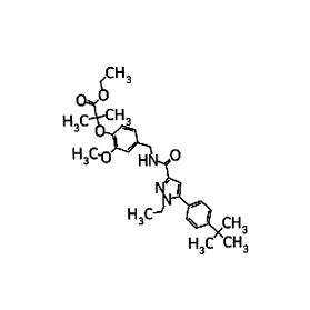 CCOC(=O)C(C)(C)Oc1ccc(CNC(=O)c2cc(-c3ccc(C(C)(C)C)cc3)n(CC)n2)cc1OC